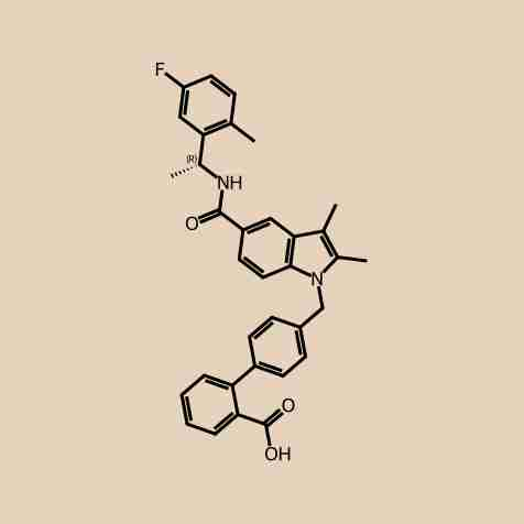 Cc1ccc(F)cc1[C@@H](C)NC(=O)c1ccc2c(c1)c(C)c(C)n2Cc1ccc(-c2ccccc2C(=O)O)cc1